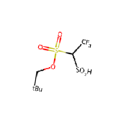 CC(C)(C)COS(=O)(=O)C(C(F)(F)F)S(=O)(=O)O